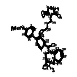 CNc1ccc(-c2ccc(C(=O)N3CC[C@H](C)Nc4ccccc43)cc2OCCCN2C(=O)CNC2=O)cc1